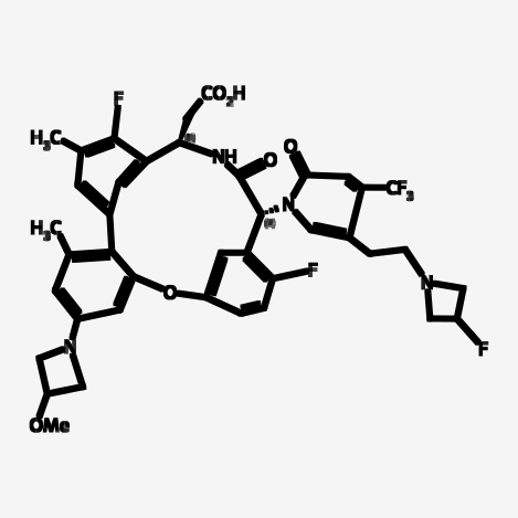 COC1CN(c2cc(C)c3c(c2)Oc2ccc(F)c(c2)[C@@H](n2cc(CCN4CC(F)C4)c(C(F)(F)F)cc2=O)C(=O)N[C@H](CC(=O)O)c2cc-3cc(C)c2F)C1